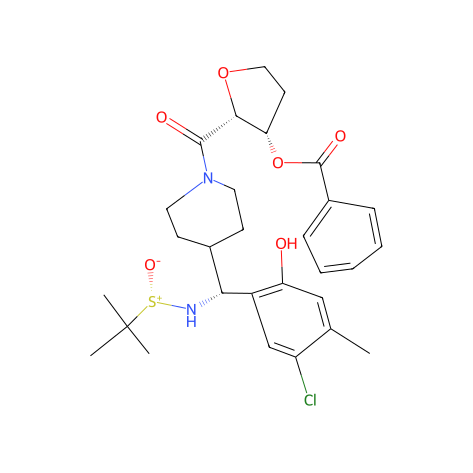 Cc1cc(O)c([C@H](N[S@@+]([O-])C(C)(C)C)C2CCN(C(=O)[C@@H]3OCC[C@@H]3OC(=O)c3ccccc3)CC2)cc1Cl